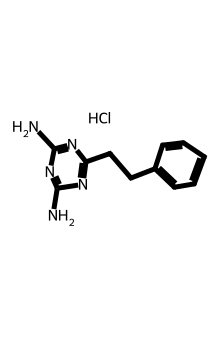 Cl.Nc1nc(N)nc(CCc2ccccc2)n1